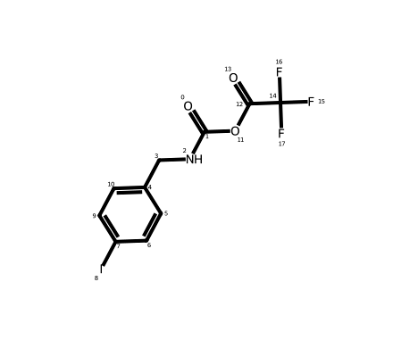 O=C(NCc1ccc(I)cc1)OC(=O)C(F)(F)F